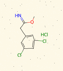 COC(=N)Cc1cc(Cl)cc(Cl)c1.Cl